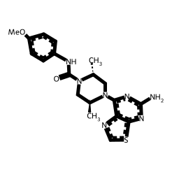 COc1ccc(NC(=O)N2C[C@H](C)N(c3nc(N)nc4scnc34)C[C@H]2C)cc1